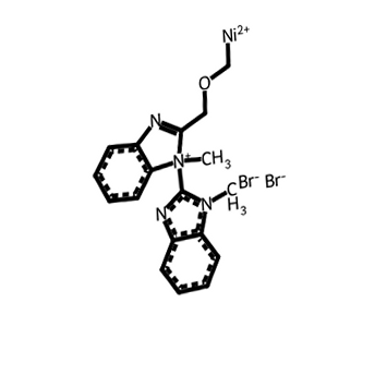 Cn1c([N+]2(C)C(CO[CH2][Ni+2])=Nc3ccccc32)nc2ccccc21.[Br-].[Br-]